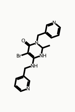 CC1NC(NCc2cccnc2)=C(Br)C(=O)N1Cc1cccnc1